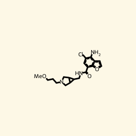 COCCCN1CC2C(CNC(=O)c3cc(Cl)c(N)c4ccoc34)C2C1